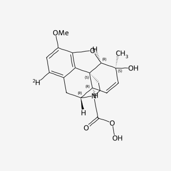 [2H]c1cc(OC)c2c3c1C[C@@H]1[C@@H]4C=C[C@](C)(O)[C@H](O2)[C@]34CCN1C(=O)OO